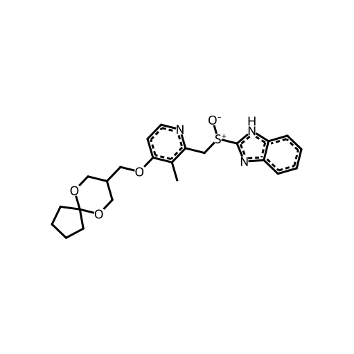 Cc1c(OCC2COC3(CCCC3)OC2)ccnc1C[S+]([O-])c1nc2ccccc2[nH]1